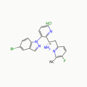 Cl.N#Cc1nc(C[C@H](N)c2ncccc2-n2ncc3cc(Br)ccc32)ccc1F